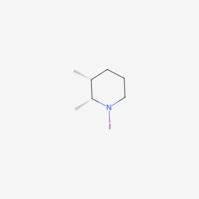 C[C@@H]1CCCN(I)[C@@H]1C